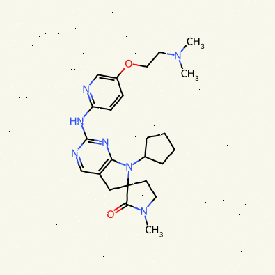 CN(C)CCOc1ccc(Nc2ncc3c(n2)N(C2CCCC2)C2(CCN(C)C2=O)C3)nc1